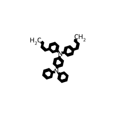 C=C/C=C\c1ccc(N(C2=CC=CC(/C=C\C=C)C2)c2ccc(N(C3=CC=CCC3)C3C=CC=CC3)cc2)cc1